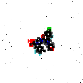 Cc1ccc(C[C@@H](C(=O)O)N2CCN(C(=O)[C@@H]3CN(C4CCOCC4)C[C@H]3c3ccc(Cl)cc3F)CC2)c(F)c1F